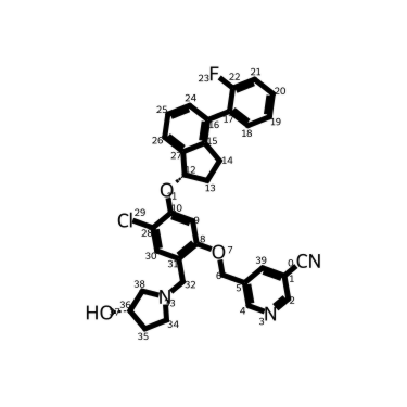 N#Cc1cncc(COc2cc(O[C@H]3CCc4c(-c5ccccc5F)cccc43)c(Cl)cc2CN2CC[C@H](O)C2)c1